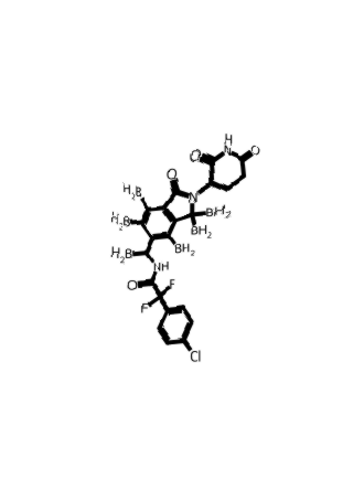 Bc1c(B)c(C(B)NC(=O)C(F)(F)c2ccc(Cl)cc2)c(B)c2c1C(=O)N(C1CCC(=O)NC1=O)C2(B)B